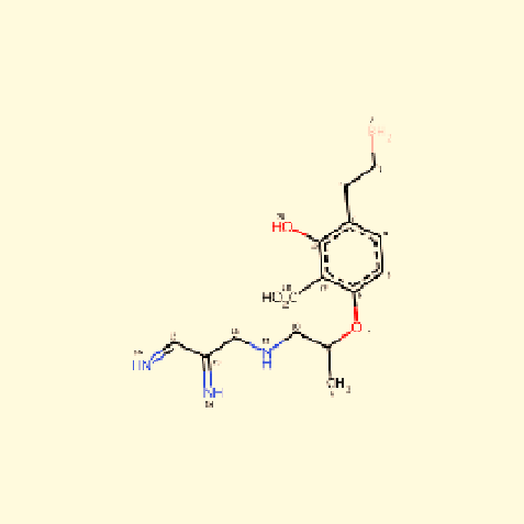 BCCc1ccc(OC(C)CNCC(=N)C=N)c(C(=O)O)c1O